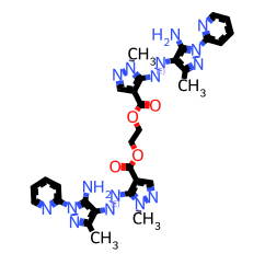 Cc1nn(-c2ccccn2)c(N)c1/N=N/c1c(C(=O)OCCOC(=O)c2cnn(C)c2/N=N/c2c(C)nn(-c3ccccn3)c2N)cnn1C